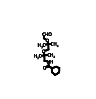 CC(C)(CNC(=O)C1CCCCC1)OCC(C)(C)OCC=O